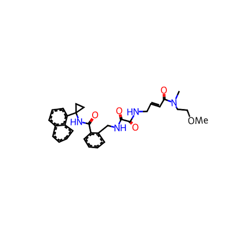 COCCN(C)C(=O)/C=C/CNC(=O)C(=O)NCc1ccccc1C(=O)NC1(c2cccc3ccccc23)CC1